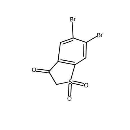 O=C1CS(=O)(=O)c2cc(Br)c(Br)cc21